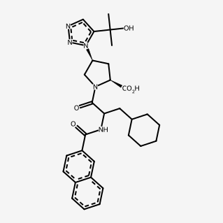 CC(C)(O)c1cnnn1[C@H]1C[C@@H](C(=O)O)N(C(=O)C(CC2CCCCC2)NC(=O)c2ccc3ccccc3c2)C1